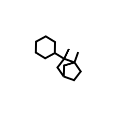 CC12CCC(C1)CC2(C)C1CCCCC1